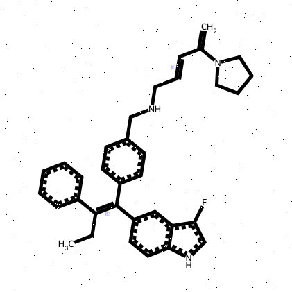 C=C(/C=C/CNCc1ccc(/C(=C(/CC)c2ccccc2)c2ccc3[nH]cc(F)c3c2)cc1)N1CCCC1